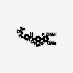 COc1cc(OC)c(F)c(-c2ccc(C(=O)Nc3ccc(CN(C)CC(=O)N(C)C)cn3)c3nccnc23)c1F